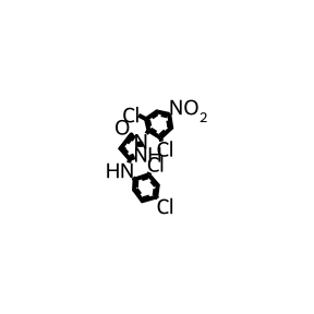 O=c1cc(Nc2ccc(Cl)cc2Cl)[nH]n1-c1c(Cl)cc([N+](=O)[O-])cc1Cl